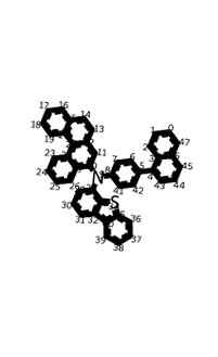 c1ccc2c(-c3ccc(N(c4cc5ccc6ccccc6c5c5ccccc45)c4cccc5c4sc4ccccc45)cc3)cccc2c1